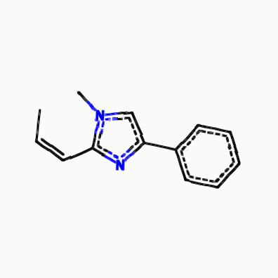 C/C=C\c1nc(-c2ccccc2)cn1C